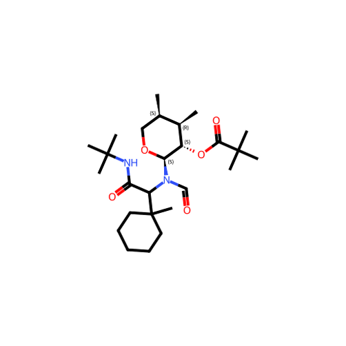 C[C@H]1[C@H](OC(=O)C(C)(C)C)[C@@H](N(C=O)C(C(=O)NC(C)(C)C)C2(C)CCCCC2)OC[C@H]1C